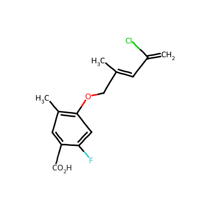 C=C(Cl)/C=C(\C)COc1cc(F)c(C(=O)O)cc1C